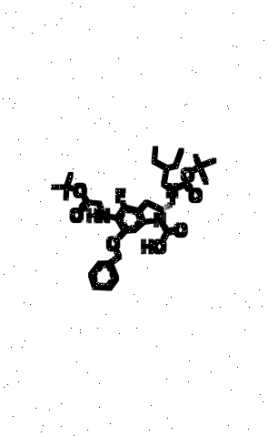 CCC(CC)CN(C[C@H]1Cc2c(cc(OCc3ccccc3)c(NCC(=O)OC(C)(C)C)c2F)N1C(=O)O)C(=O)OC(C)(C)C